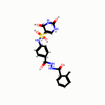 Cc1ccccc1C(=O)NNC(=O)c1ccc(NS(=O)(=O)c2c[nH]c(=O)[nH]c2=O)cc1